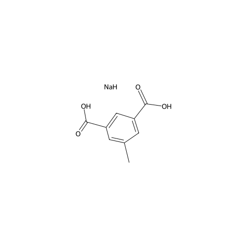 Cc1cc(C(=O)O)cc(C(=O)O)c1.[NaH]